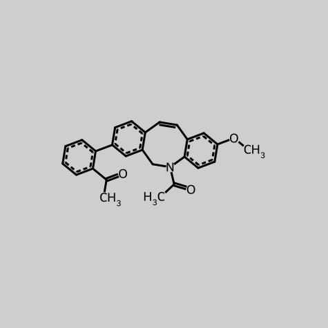 COc1ccc2c(c1)/C=C\c1ccc(-c3ccccc3C(C)=O)cc1CN2C(C)=O